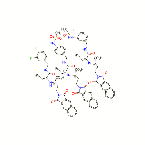 CC(C)C[C@H](N[C@H](CCN1C(=O)c2cc3ccccc3cc2C1=O)C(=O)O)C(=O)NCc1ccc(F)c(F)c1.CC(C)C[C@H](N[C@H](CCN1C(=O)c2cc3ccccc3cc2C1=O)C(=O)O)C(=O)NCc1ccc(NS(C)(=O)=O)cc1.CC(C)C[C@H](N[C@H](CCN1C(=O)c2cc3ccccc3cc2C1=O)C(=O)O)C(=O)NCc1cccc(NS(C)(=O)=O)c1